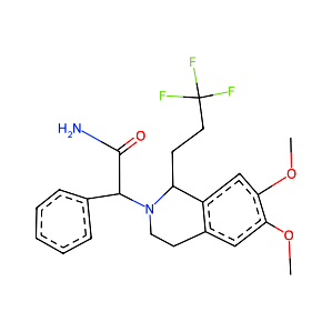 COc1cc2c(cc1OC)C(CCC(F)(F)F)N(C(C(N)=O)c1ccccc1)CC2